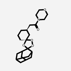 O=C(C[C@@H]1CCC[C@]2(C1)OOC1(O2)C2CC3CC(C2)CC1C3)N1CCOCC1